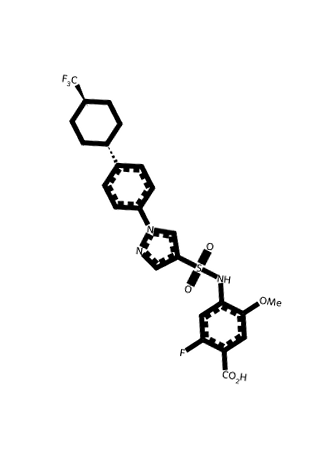 COc1cc(C(=O)O)c(F)cc1NS(=O)(=O)c1cnn(-c2ccc([C@H]3CC[C@H](C(F)(F)F)CC3)cc2)c1